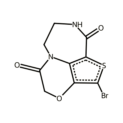 O=C1NCCN2C(=O)COc3c(Br)sc1c32